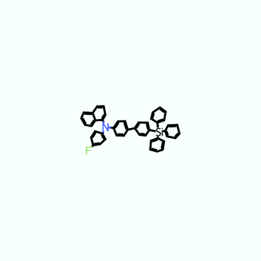 Fc1ccc(N(c2ccc(-c3ccc([Si](c4ccccc4)(c4ccccc4)c4ccccc4)cc3)cc2)c2cccc3ccccc23)cc1